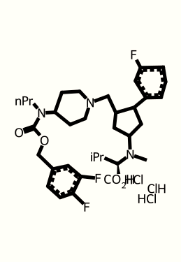 CCCN(C(=O)OCc1ccc(F)c(F)c1)C1CCN(CC2CC(N(C)[C@@H](C(=O)O)C(C)C)CC2c2cccc(F)c2)CC1.Cl.Cl.Cl